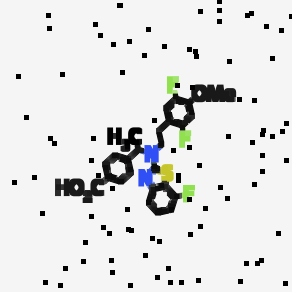 COc1cc(F)c(CCN(c2nc3cccc(F)c3s2)C(C)c2ccc(C(=O)O)cc2)cc1F